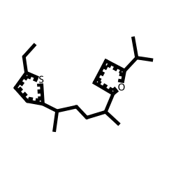 CCc1ccc(C(C)CCC(C)c2ccc(C(C)C)o2)s1